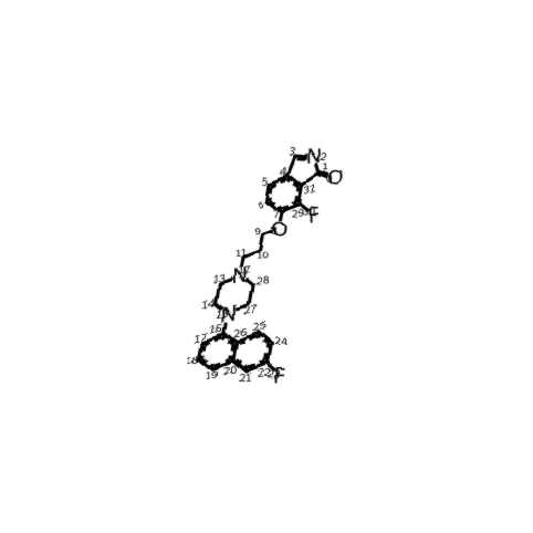 O=C1N=Cc2ccc(OCCCN3CCN(c4cccc5cc(F)ccc45)CC3)c(F)c21